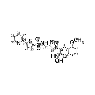 COc1ccccc1C[C@@H](C(=O)NO)n1cc(CNS(=O)(=O)c2ccc(-c3ccccn3)s2)nn1